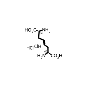 Cl.Cl.N[C@@H](CC=CC[C@H](N)C(=O)O)C(=O)O